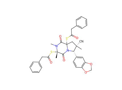 CN1C(=O)C2(SC(=O)Cc3ccccc3)C[C@](C)(C#N)[C@H](c3ccc4c(c3)OCO4)N2C(=O)[C@]1(C)SC(=O)Cc1ccccc1